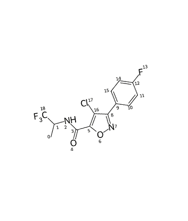 CC(NC(=O)c1onc(-c2ccc(F)cc2)c1Cl)C(F)(F)F